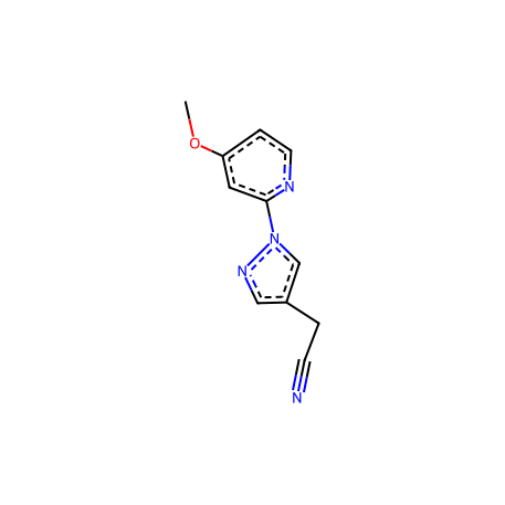 COc1ccnc(-n2cc(CC#N)cn2)c1